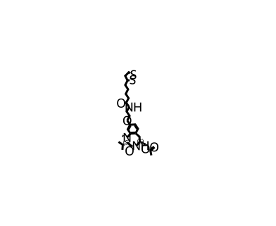 CC(=O)OC[C@@H]1Cc2ccc(OCCNC(=O)CCCCC3CCSS3)cc2N(C)[C@@H](C(C)C)C(=O)N1